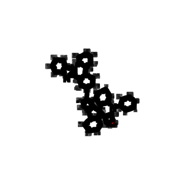 c1ccc(N2c3ccccc3C3(c4ccccc4-c4ccc(-c5ccc6c7ccccc7n7c8ccccc8nc7c6c5)cc43)c3ccccc32)cc1